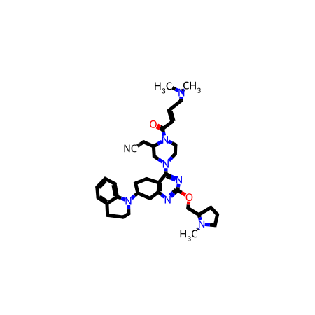 CN(C)CC=CC(=O)N1CCN(c2nc(OCC3CCCN3C)nc3c2CCC(N2CCCc4ccccc42)C3)CC1CC#N